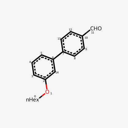 CCCCCCOc1cccc(-c2ccc(C=O)cc2)c1